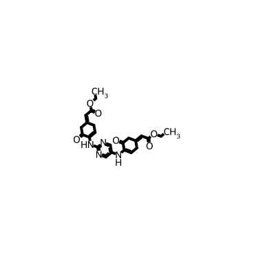 CCOC(=O)C=C1CC=C(Nc2cnc(NC3=CCC(=CC(=O)OCC)CC3=O)nc2)C(=O)C1